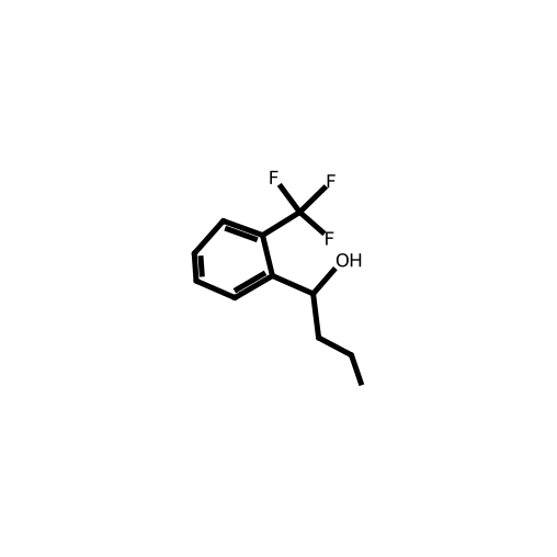 CCCC(O)c1ccccc1C(F)(F)F